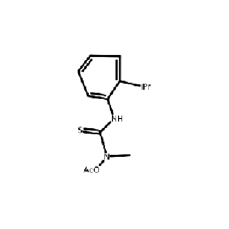 CC(=O)ON(C)C(=S)Nc1ccccc1C(C)C